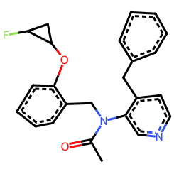 CC(=O)N(Cc1ccccc1OC1CC1F)c1cnccc1Cc1ccccc1